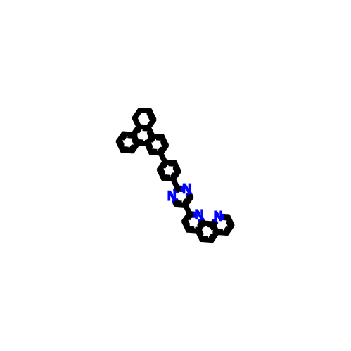 C1=Cc2c(c3ccccc3c3cc(-c4ccc(-c5ncc(-c6ccc7ccc8cccnc8c7n6)cn5)cc4)ccc23)CC1